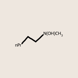 [CH2]CCCCN(C)O